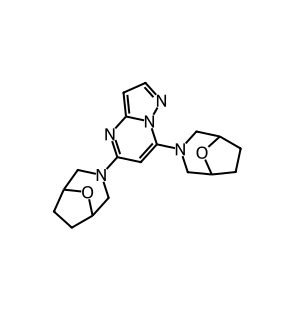 c1cc2nc(N3CC4CCC(C3)O4)cc(N3CC4CCC(C3)O4)n2n1